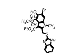 CCOC(=O)c1c(CSc2nc3ccccc3[nH]2)n(C)c2cc(Br)c(O)[c]([Sn]([CH3])([CH3])[CH3])c12